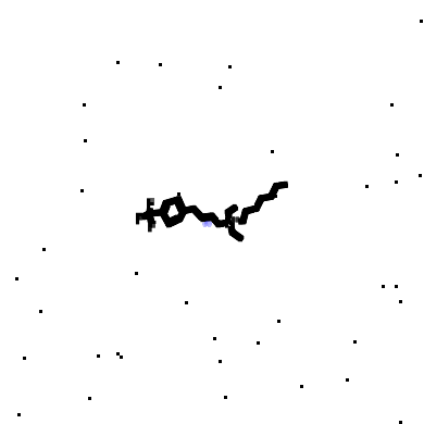 CCCCCCC[N+](CC)(CC)C/C=C/Cc1ccc(C(F)(F)F)cc1